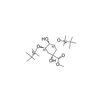 COC(=O)[C@]1(O)C[C@@H](O[Si](C)(C)C(C)(C)C)[C@@H](O)[C@H](O[Si](C)(C)C(C)(C)C)C1